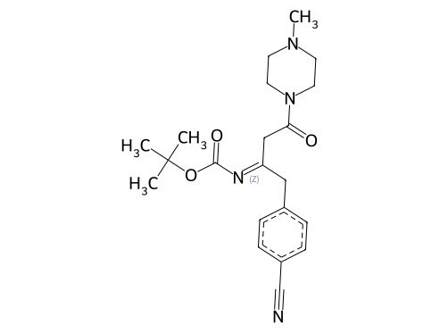 CN1CCN(C(=O)C/C(Cc2ccc(C#N)cc2)=N\C(=O)OC(C)(C)C)CC1